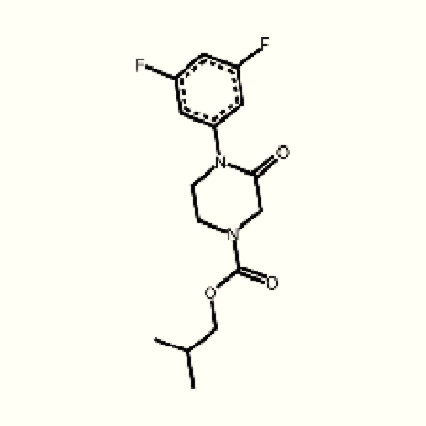 CC(C)COC(=O)N1CCN(c2cc(F)cc(F)c2)C(=O)C1